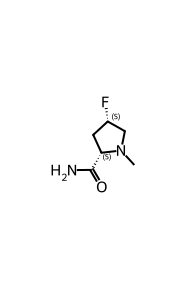 CN1C[C@@H](F)C[C@H]1C(N)=O